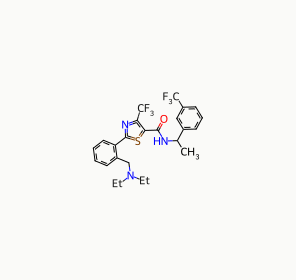 CCN(CC)Cc1ccccc1-c1nc(C(F)(F)F)c(C(=O)NC(C)c2cccc(C(F)(F)F)c2)s1